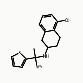 CCCC(C)(NC1CCc2c(O)cccc2C1)c1cccs1